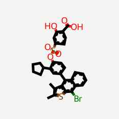 Cc1sc2c(Br)c3ccccc3c(-c3ccc(OS(=O)(=O)c4ccc(C(=O)O)c(O)c4)c(C4CCCC4)c3)c2c1C